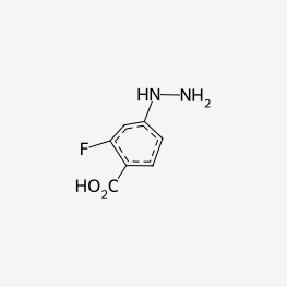 NNc1ccc(C(=O)O)c(F)c1